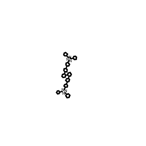 c1ccc(-c2nc(-c3ccccc3)nc(-c3ccc(-c4ccc(-c5ccccc5-c5ccccc5-c5ccc(-c6ccc(-c7nc(-c8ccccc8)nc(-c8ccccc8)n7)cc6)cc5)cc4)cc3)n2)cc1